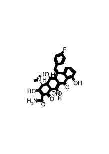 CN(C)[C@H]1C(O)=C(C(N)=O)C(=O)[C@]2(O)C(O)=C3C(=O)c4c(O)cccc4/C(=C\c4ccc(F)cc4)[C@H]3[C@H](O)[C@H]12